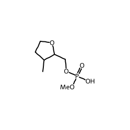 COP(=O)(O)OCC1OCCC1C